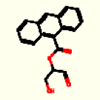 O=CC(CO)OC(=O)c1c2ccccc2cc2ccccc12